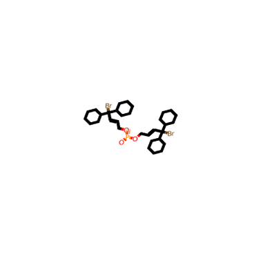 O=[PH](OCC=CC(Br)(C1CCCCC1)C1CCCCC1)OCC=CC(Br)(C1CCCCC1)C1CCCCC1